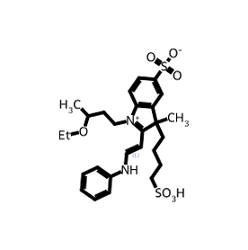 CCOC(C)CC[N+]1=C(/C=C/Nc2ccccc2)C(C)(CCCCS(=O)(=O)O)c2cc(S(=O)(=O)[O-])ccc21